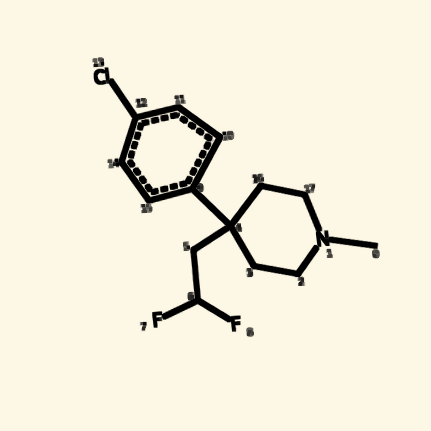 CN1CCC(CC(F)F)(c2ccc(Cl)cc2)CC1